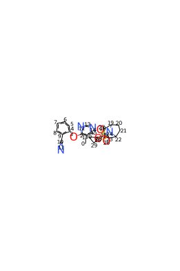 Cc1c(Oc2ccccc2C#N)ncnc1OC1CC2CCC(C1)N2S(=O)(=O)C1CC1